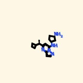 C[C@@H](c1cc(N[C@H]2CC[C@H](N)C2)n2nccc2n1)C1CCC1